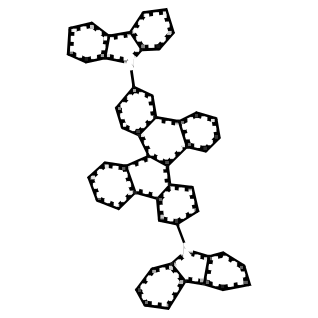 c1ccc2c(c1)c1cc(-n3c4ccccc4c4ccccc43)ccc1c1c3ccccc3c3cc(-n4c5ccccc5c5ccccc54)ccc3c21